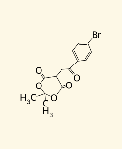 CC1(C)OC(=O)C(CC(=O)c2ccc(Br)cc2)C(=O)O1